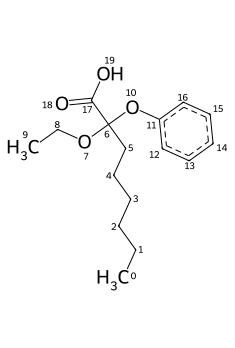 CCCCCCC(OCC)(Oc1ccccc1)C(=O)O